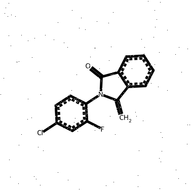 C=C1c2ccccc2C(=O)N1c1ccc(Cl)cc1F